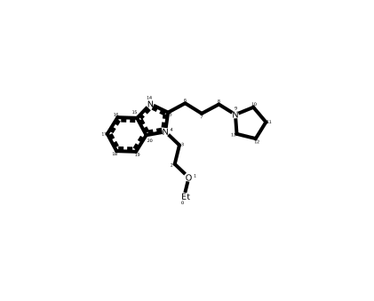 CCOCCn1c(CCCN2CCCC2)nc2ccccc21